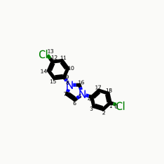 Clc1ccc(N2C=CN(c3ccc(Cl)cc3)C2)cc1